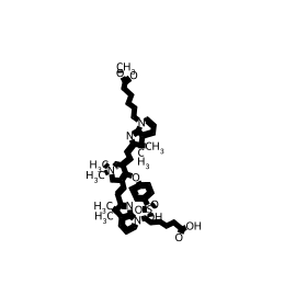 COC(=O)CCCCCN1C=CC=C2C1=N/C(=C/C=C1\C[N+](C)(C)CC(/C=C/C3=Nc4c(ccc[n+]4CCCCCC(=O)O)C3(C)C)=C1Oc1ccc(S(=O)(=O)O)cc1)C2(C)C